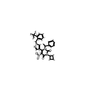 CC(c1ccccc1)n1c(-c2cnn(Cc3ccccc3C(F)(F)F)c2)c([N+](=O)[O-])c(=O)n(C2CCC2)c1=O